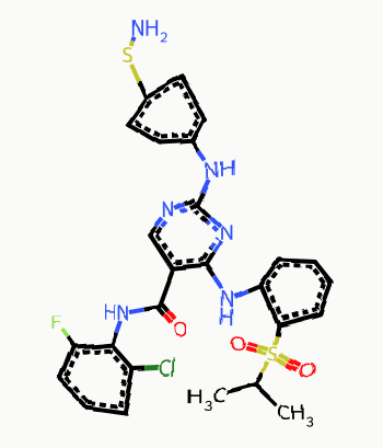 CC(C)S(=O)(=O)c1ccccc1Nc1nc(Nc2ccc(SN)cc2)ncc1C(=O)Nc1c(F)cccc1Cl